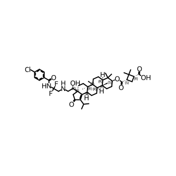 CC(C)C1=C2[C@H]3CC[C@@H]4[C@@]5(C)CC[C@H](OC(=O)[C@H]6C[C@@H](C(=O)O)C6(C)C)C(C)(C)[C@@H]5CC[C@@]4(C)[C@]3(C)CC[C@@]2([C@@H](O)CNCC(F)(F)NC(=O)c2ccc(Cl)cc2)CC1=O